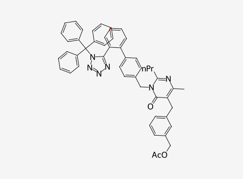 CCCc1nc(C)c(Cc2cccc(COC(C)=O)c2)c(=O)n1Cc1ccc(-c2ccccc2-c2nnnn2C(c2ccccc2)(c2ccccc2)c2ccccc2)cc1